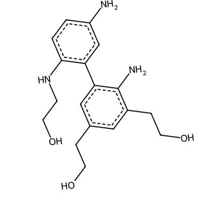 Nc1ccc(NCCO)c(-c2cc(CCO)cc(CCO)c2N)c1